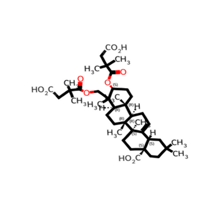 CC1(C)CC[C@]2(C(=O)O)CC[C@]3(C)C(=CC[C@@H]4[C@@]5(C)CC[C@H](OC(=O)C(C)(C)CC(=O)O)C(C)(COC(=O)C(C)(C)CC(=O)O)[C@@H]5CC[C@]43C)[C@@H]2C1